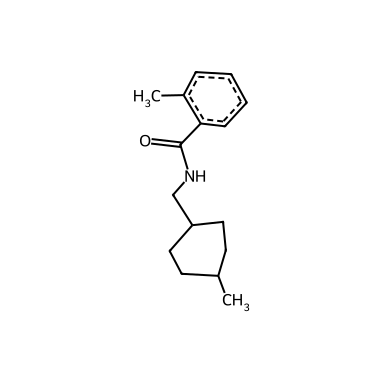 Cc1ccccc1C(=O)NCC1CCC(C)CC1